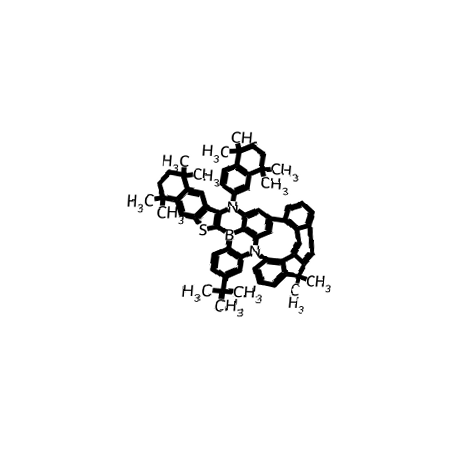 CC(C)(C)c1ccc2c(c1)N1c3cc(cc4c3B2c2sc3cc5c(cc3c2N4c2ccc3c(c2)C(C)(C)CCC3(C)C)C(C)(C)CCC5(C)C)-c2cccc3cc4c(cc23)-c2c1cccc2C4(C)C